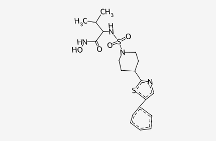 CC(C)C(NS(=O)(=O)N1CCC(c2ncc(-c3ccccc3)s2)CC1)C(=O)NO